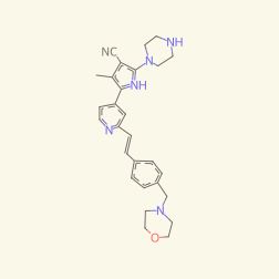 Cc1c(-c2ccnc(/C=C/c3ccc(CN4CCOCC4)cc3)c2)[nH]c(N2CCNCC2)c1C#N